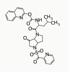 CC(C)CC(NC(=O)Oc1ccc2ccccc2n1)C(=O)N1CCC2C1C(=O)CN2S(=O)(=O)C(=O)c1ccccn1